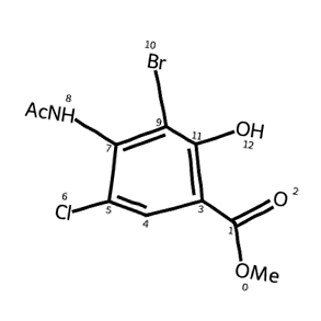 COC(=O)c1cc(Cl)c(NC(C)=O)c(Br)c1O